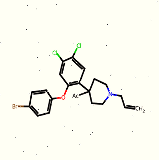 C=CCN1CCC(C(C)=O)(c2cc(Cl)c(Cl)cc2Oc2ccc(Br)cc2)CC1